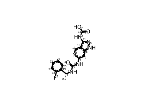 C[C@@H](NC(=O)Nc1cc2[nH]nc(NC(=O)O)c2cn1)c1ccccc1F